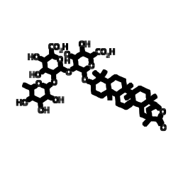 CC1OC(OC2C(OC3C(OC4CCC5(C)C(CCC6(C)C5CC=C5C7CC8(C)CC(OC8=O)C7(C)CCC56C)C4(C)C)OC(C(=O)O)C(O)C3O)OC(C(=O)O)C(O)C2O)C(O)C(O)C1O